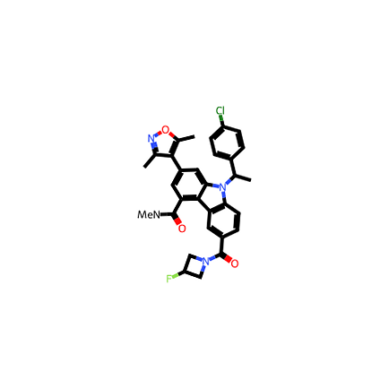 CNC(=O)c1cc(-c2c(C)noc2C)cc2c1c1cc(C(=O)N3CC(F)C3)ccc1n2C(C)c1ccc(Cl)cc1